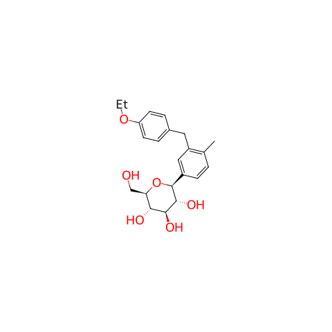 CCOc1ccc(Cc2cc([C@@H]3O[C@H](CO)[C@@H](O)[C@H](O)[C@H]3O)ccc2C)cc1